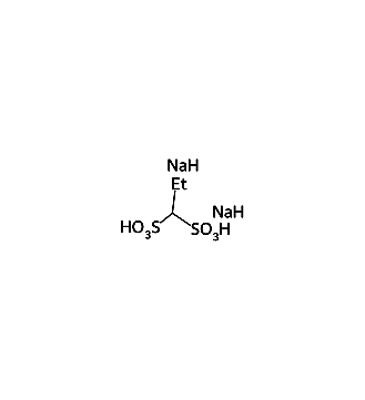 CCC(S(=O)(=O)O)S(=O)(=O)O.[NaH].[NaH]